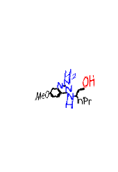 CCCC(CCO)NC1=NC(N)=NC2CC(OC)=CC=C12